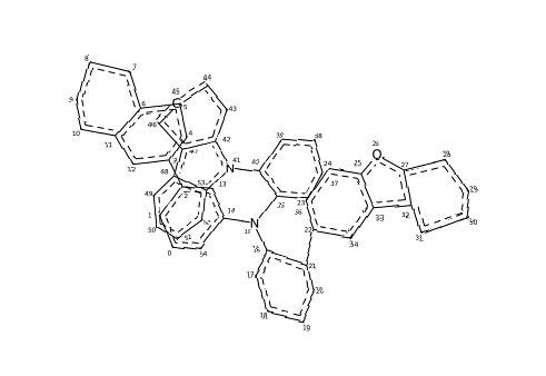 c1cc(-c2ccc3ccccc3c2)cc(N(c2ccccc2-c2ccc3oc4ccccc4c3c2)c2ccccc2-n2c3ccccc3c3ccccc32)c1